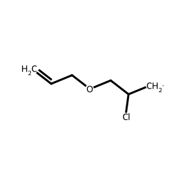 [CH2]C(Cl)COCC=C